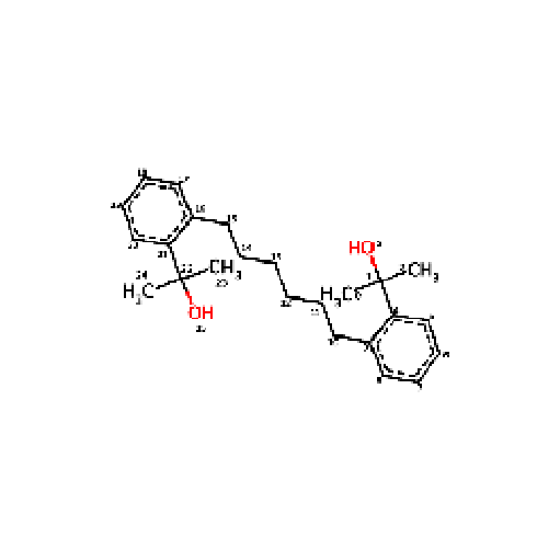 CC(C)(O)c1ccccc1CCCCCCc1ccccc1C(C)(C)O